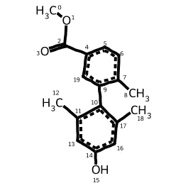 COC(=O)c1ccc(C)c(-c2c(C)cc(O)cc2C)c1